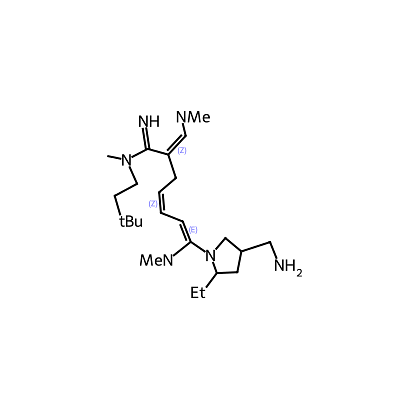 CCC1CC(CN)CN1/C(=C/C=C\C/C(=C/NC)C(=N)N(C)CCC(C)(C)C)NC